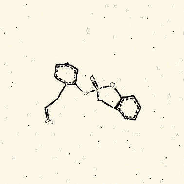 C=CCc1ccccc1OP1(=O)Cc2ccccc2O1